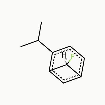 CC(C)c1ccc2cc1[C@H]2F